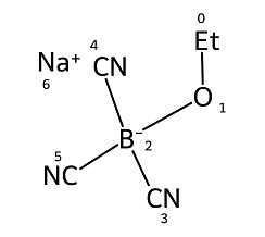 CCO[B-](C#N)(C#N)C#N.[Na+]